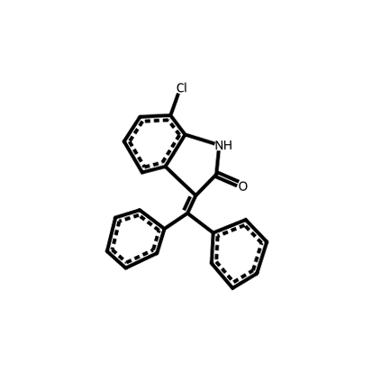 O=C1Nc2c(Cl)cccc2C1=C(c1ccccc1)c1ccccc1